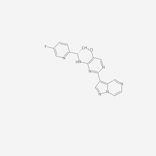 C[C@H](Nc1nc(-c2cnn3ccncc23)ncc1Cl)c1ccc(F)cn1